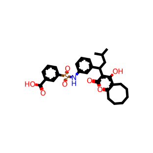 CC(C)CC(c1cccc(NS(=O)(=O)c2cccc(C(=O)O)c2)c1)c1c(O)c2c(oc1=O)CCCCCC2